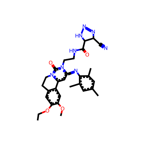 CCOc1cc2c(cc1OC)-c1c/c(=N\c3c(C)cc(C)cc3C)n(CCNC(=O)C3NN=NC3C#N)c(=O)n1CC2